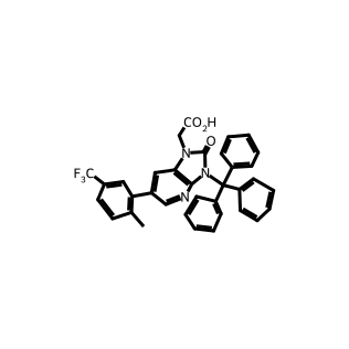 Cc1ccc(C(F)(F)F)cc1-c1cnc2c(c1)n(CC(=O)O)c(=O)n2C(c1ccccc1)(c1ccccc1)c1ccccc1